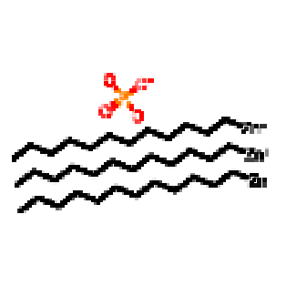 CCCCCCCCCCC[CH2][Zn+].CCCCCCCCCCC[CH2][Zn+].CCCCCCCCCCC[CH2][Zn+].O=P([O-])([O-])[O-]